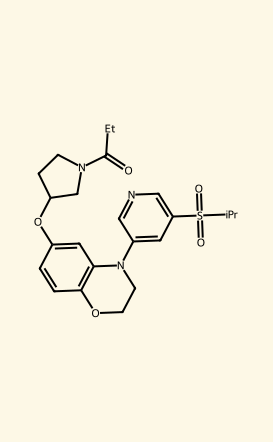 CCC(=O)N1CCC(Oc2ccc3c(c2)N(c2cncc(S(=O)(=O)C(C)C)c2)CCO3)C1